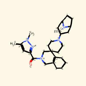 CCOC(=O)N1C2CCC1CC(N1CCC3(CC1)CN(C(=O)c1cc(C)n(C)n1)CC1=C3CCCC1)C2